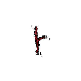 C=CC(=O)OCCCCCCOc1ccc(CCOC(=O)C2CCC(C(=O)Oc3ccc4c(c3)nc(Sc3ccc(OCCCCCCOC(=O)C=C)cc3)c3cc(OC(=O)C5CCC(C(=O)OCCc6ccc(OCCCCCCOC(=O)C=C)cc6)CC5)ccc34)CC2)cc1